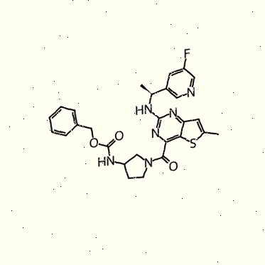 Cc1cc2nc(N[C@@H](C)c3cncc(F)c3)nc(C(=O)N3CCC(NC(=O)OCc4ccccc4)C3)c2s1